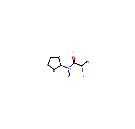 CC(I)C(=O)N(C)C1CCCC1